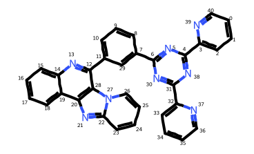 c1ccc(-c2nc(-c3cccc(-c4nc5ccccc5c5nc6ccccn6c45)c3)nc(-c3ccccn3)n2)nc1